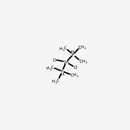 C[PH](C)(C)[Zn]([Cl])([Cl])[PH](C)(C)C